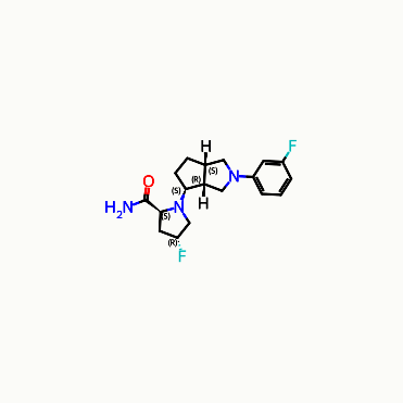 NC(=O)[C@@H]1C[C@@H](F)CN1[C@H]1CC[C@@H]2CN(c3cccc(F)c3)C[C@@H]21